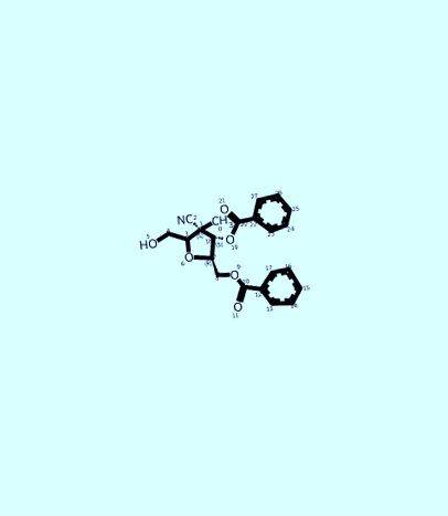 C[C@]1(C#N)C(CO)O[C@H](COC(=O)c2ccccc2)[C@H]1OC(=O)c1ccccc1